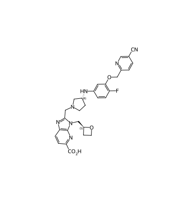 N#Cc1ccc(COc2cc(N[C@@H]3CCN(Cc4nc5ccc(C(=O)O)nc5n4C[C@@H]4CCO4)C3)ccc2F)nc1